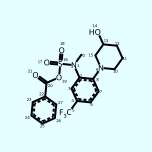 CN(c1cc(C(F)(F)F)ccc1N1CCCC(O)C1)S(=O)(=O)OC(=O)c1ccccc1